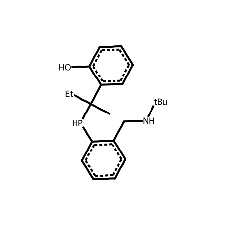 CCC(C)(Pc1ccccc1CNC(C)(C)C)c1ccccc1O